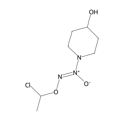 CC(Cl)O/N=[N+](\[O-])N1CCC(O)CC1